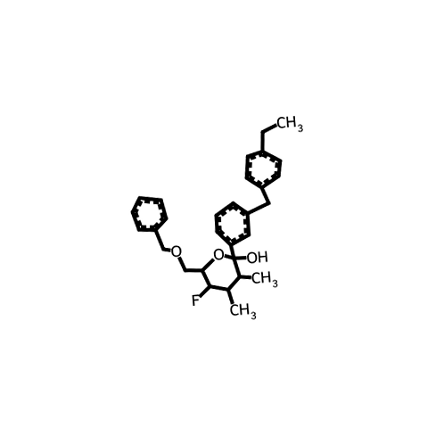 CCc1ccc(Cc2cccc(C3(O)OC(COCc4ccccc4)C(F)C(C)C3C)c2)cc1